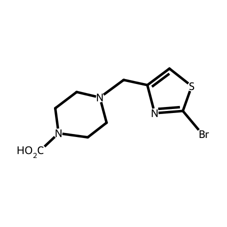 O=C(O)N1CCN(Cc2csc(Br)n2)CC1